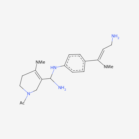 CNC1=C(C(N)Nc2ccc(/C(=C/CN)NC)cc2)CN(C(C)=O)CC1